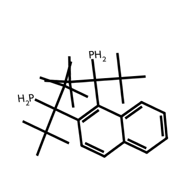 CC(C)(C)C(P)(c1ccc2ccccc2c1C(P)(C(C)(C)C)C(C)(C)C)C(C)(C)C